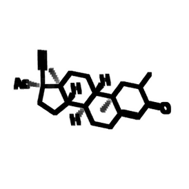 C#C[C@]1(C(C)=O)CC[C@H]2[C@@H]3CCC4=CC(=O)C(C)C[C@]4(C)[C@H]3CC[C@@]21C